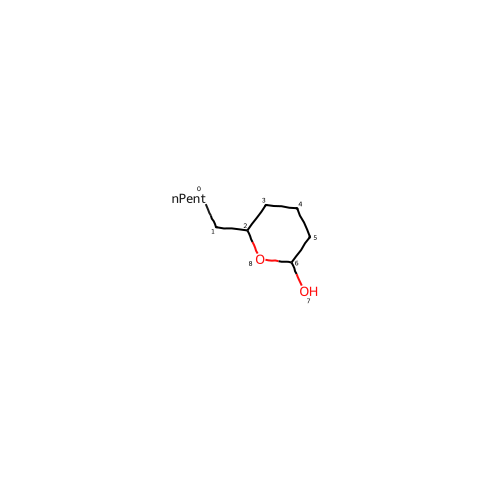 CCCCCCC1CCCC(O)O1